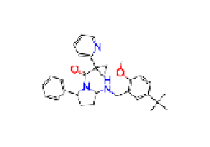 COc1ccc(C(C)(C)C)cc1CNC1CCC(c2ccccc2)N1C(=O)C1(c2ccccn2)CC1